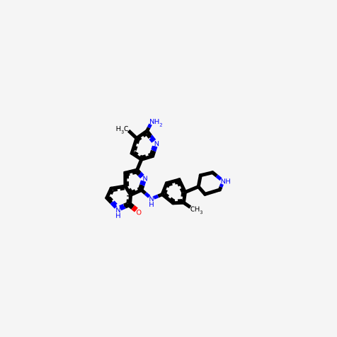 Cc1cc(Nc2nc(-c3cnc(N)c(C)c3)cc3cc[nH]c(=O)c23)ccc1C1CCNCC1